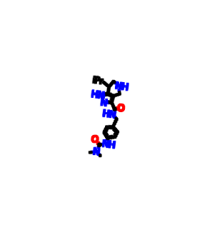 CC(C)C1CNCc2c(C(=O)NCc3ccc(NC(=O)N(C)C)cc3)n[nH]c21